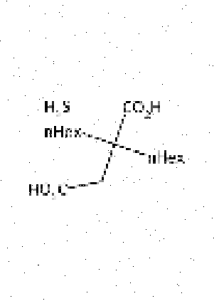 CCCCCCC(CCCCCC)(CC(=O)O)C(=O)O.S